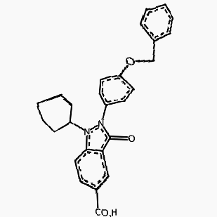 O=C(O)c1ccc2c(c1)c(=O)n(-c1ccc(OCc3ccccc3)cc1)n2C1CCCCC1